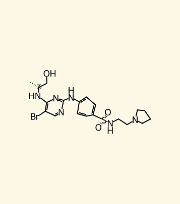 C[C@H](CO)Nc1nc(Nc2ccc(S(=O)(=O)NCCN3CCCC3)cc2)ncc1Br